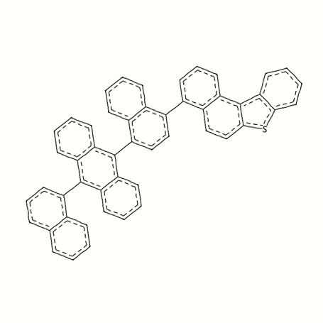 c1ccc2c(-c3c4ccccc4c(-c4ccc(-c5cccc6c5ccc5sc7ccccc7c56)c5ccccc45)c4ccccc34)cccc2c1